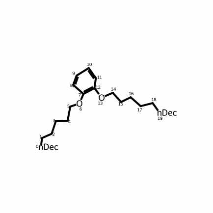 CCCCCCCCCCCCCCCOc1[c]cc[c]c1OCCCCCCCCCCCCCCC